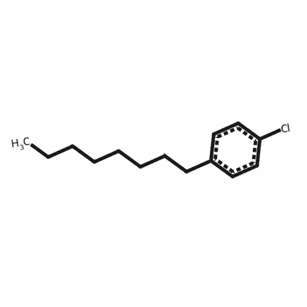 CCCCCC[CH]Cc1ccc(Cl)cc1